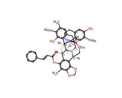 COc1cc2c(cc1O)CCN[C@]21CS[C@@H]2c3c(OC(=O)/C=C/c4ccccc4)c(C)c4c(c3[C@H](COC1=O)N1[C@@H]2[C@@H]2N[C@H](Cc3cc(C)c(OC)c(O)c32)[C@@H]1O)OCO4